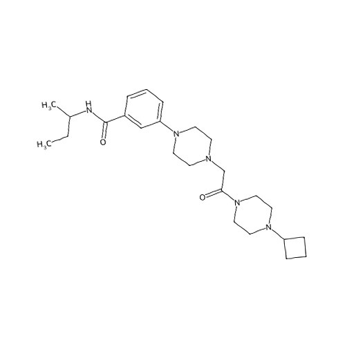 CCC(C)NC(=O)c1cccc(N2CCN(CC(=O)N3CCN(C4CCC4)CC3)CC2)c1